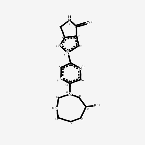 O=C1NCc2nn(-c3cnc(N4CCCCCC(F)C4)cn3)cc21